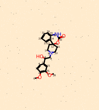 COc1ccc(C(O)CN2CCC3(CC2)OC(=O)Nc2ccccc23)cc1OC